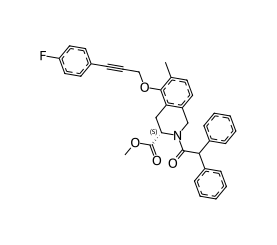 COC(=O)[C@@H]1Cc2c(ccc(C)c2OCC#Cc2ccc(F)cc2)CN1C(=O)C(c1ccccc1)c1ccccc1